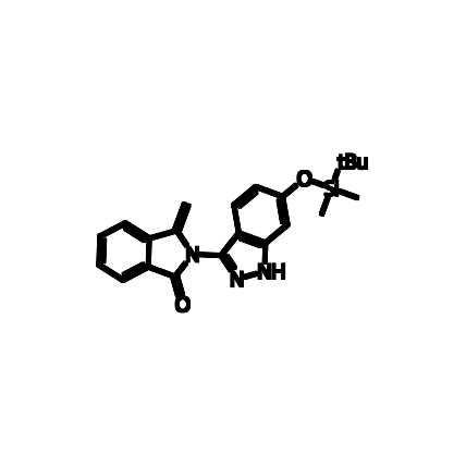 C=C1c2ccccc2C(=O)N1c1n[nH]c2cc(O[Si](C)(C)C(C)(C)C)ccc12